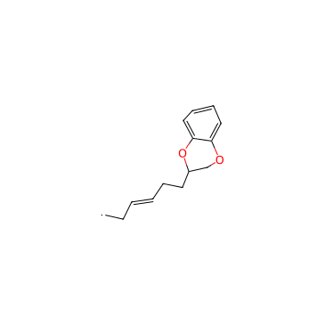 [CH2]C/C=C/CCC1COc2ccccc2O1